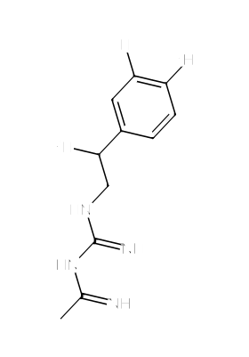 [2H]c1ccc(C([2H])CNC(=N)NC(C)=N)cc1[2H]